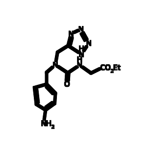 CCOC(=O)CNC(=O)N(Cc1ccc(N)cc1)Cc1nnn[nH]1